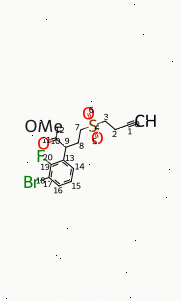 C#CCCS(=O)(=O)CCC(C(=O)OC)c1cccc(Br)c1F